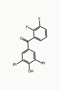 CC(C)c1cc(C(=O)c2cccc(F)c2F)cc(C(C)C)c1O